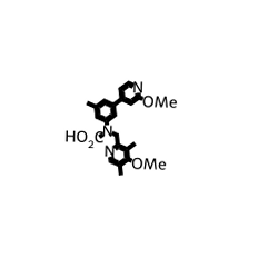 COc1cc(-c2cc(C)cc(N(Cc3ncc(C)c(OC)c3C)C(=O)O)c2)ccn1